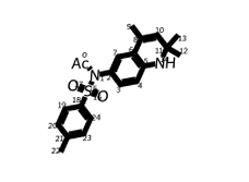 CC(=O)N(c1ccc2c(c1)C(C)=CC(C)(C)N2)S(=O)(=O)c1ccc(C)cc1